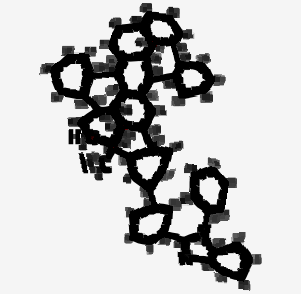 CC1(C)c2cc(-c3cccc(-c4nc5ccccc5n4-c4ccccc4)c3)ccc2-c2cc3c(-c4ccccc4-c4ccccc4)c4ccccc4c(-c4ccccc4-c4ccccc4)c3cc21